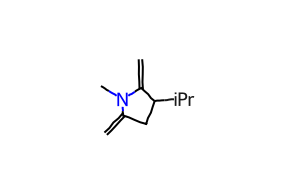 C=C1CC(C(C)C)C(=C)N1C